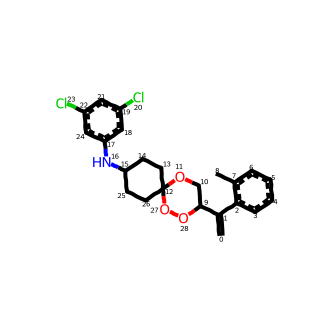 C=C(c1ccccc1C)C1COC2(CCC(Nc3cc(Cl)cc(Cl)c3)CC2)OO1